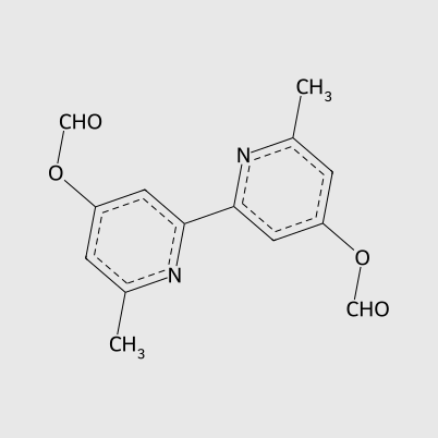 Cc1cc(OC=O)cc(-c2cc(OC=O)cc(C)n2)n1